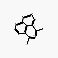 C=C(C)c1cccc2cccc(C(=C)C)c12